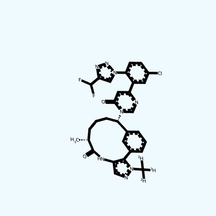 [2H]C([2H])([2H])n1ncc2c1-c1cccc(c1)[C@@H](n1cnc(-c3cc(Cl)ccc3-n3cc(C(F)F)nn3)cc1=O)CCC[C@@H](C)C(=O)N2